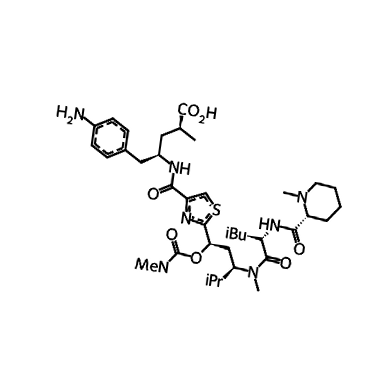 CC[C@H](C)[C@H](NC(=O)[C@H]1CCCCN1C)C(=O)N(C)[C@H](C[C@@H](OC(=O)NC)c1nc(C(=O)N[C@@H](Cc2ccc(N)cc2)C[C@H](C)C(=O)O)cs1)C(C)C